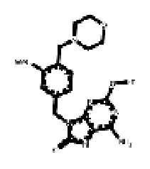 CCOc1nc(N)c2[nH]c(=O)n(Cc3ccc(CN4CCOCC4)c(OC)c3)c2n1